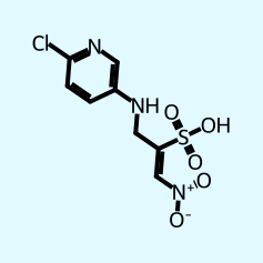 O=[N+]([O-])C=C(CNc1ccc(Cl)nc1)S(=O)(=O)O